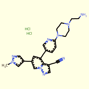 Cl.Cl.Cn1cc(-c2cc(-c3ccc(N4CCN(CCN)CC4)nc3)c3c(C#N)cnn3c2)cn1